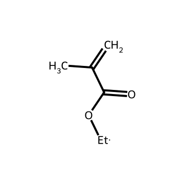 C=C(C)C(=O)O[CH]C